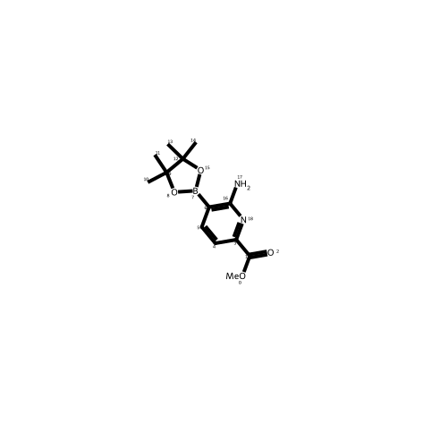 COC(=O)c1ccc(B2OC(C)(C)C(C)(C)O2)c(N)n1